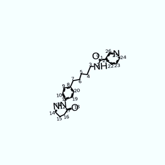 O=C(NCCCCCc1ccc(N2N=CCCC2=O)cc1)c1cccnc1